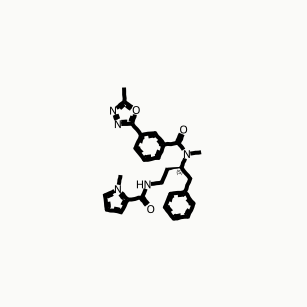 Cc1nnc(-c2cccc(C(=O)N(C)[C@H](CCNC(=O)c3cccn3C)Cc3ccccc3)c2)o1